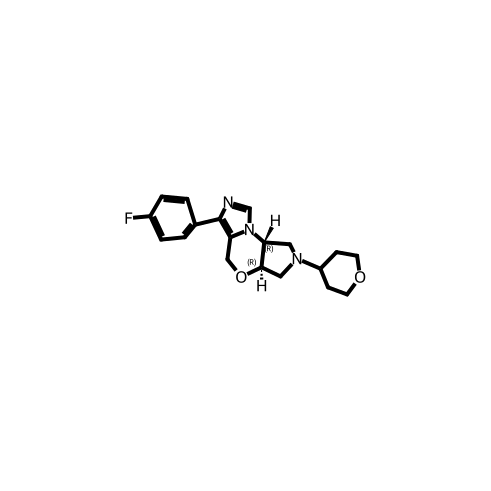 Fc1ccc(-c2ncn3c2CO[C@@H]2CN(C4CCOCC4)C[C@H]23)cc1